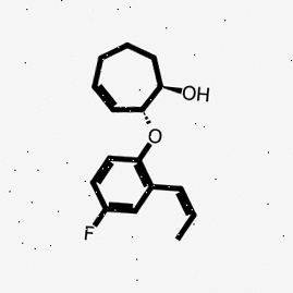 C/C=C\c1cc(F)ccc1O[C@@H]1C=CCCC[C@H]1O